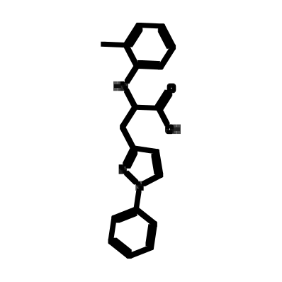 Cc1ccccc1NC(Cc1ccn(-c2ccccc2)n1)C(=O)O